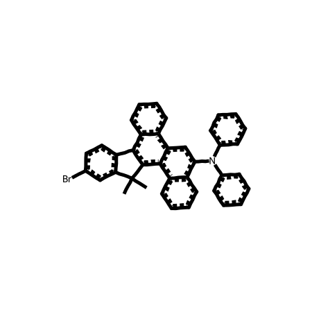 CC1(C)c2cc(Br)ccc2-c2c1c1c3ccccc3c(N(c3ccccc3)c3ccccc3)cc1c1ccccc21